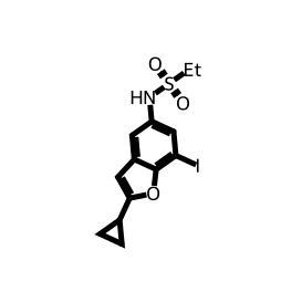 CCS(=O)(=O)Nc1cc(I)c2oc(C3CC3)cc2c1